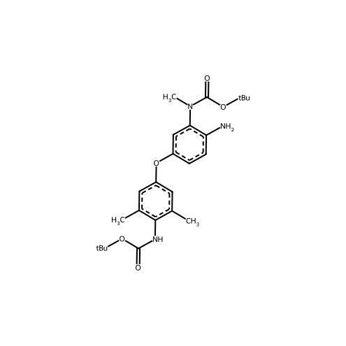 Cc1cc(Oc2ccc(N)c(N(C)C(=O)OC(C)(C)C)c2)cc(C)c1NC(=O)OC(C)(C)C